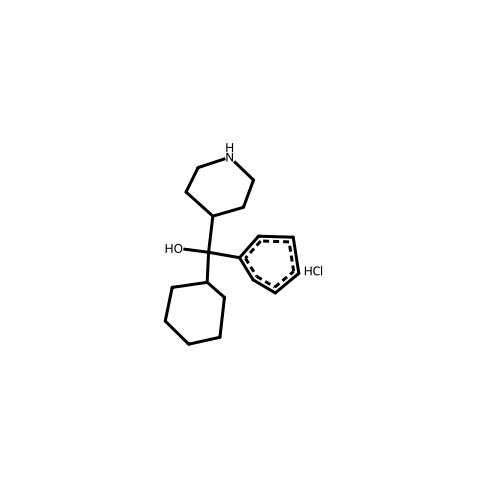 Cl.OC(c1ccccc1)(C1CCCCC1)C1CCNCC1